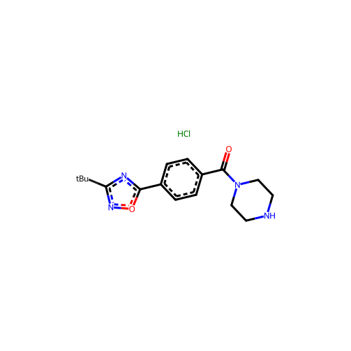 CC(C)(C)c1noc(-c2ccc(C(=O)N3CCNCC3)cc2)n1.Cl